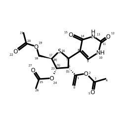 C=C(OC(C)=O)[C@H]1C(c2c[nH]c(=O)[nH]c2=O)S[C@H](COC(C)=O)[C@H]1OC(C)=O